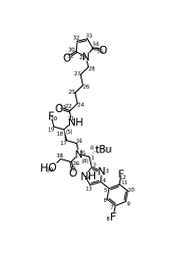 CC(C)(C)[C@H](c1nc(-c2cc(F)ccc2F)c[nH]1)N(CC[C@@H](CF)NC(=O)CCCCCN1C(=O)C=CC1=O)C(=O)CO